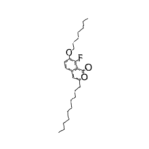 CCCCCCCCCCc1cc2ccc(OCCCCCCC)c(F)c2c(=O)o1